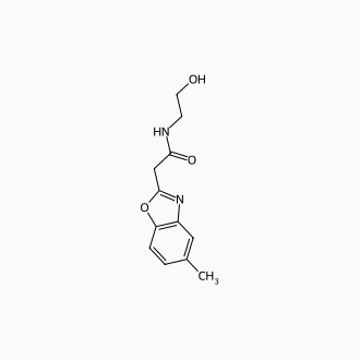 Cc1ccc2oc(CC(=O)NCCO)nc2c1